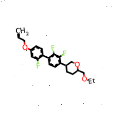 C=CCOc1ccc(-c2ccc(C3CCC(COCC)OC3)c(F)c2F)c(F)c1